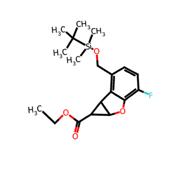 CCOC(=O)C1C2Oc3c(F)ccc(CO[Si](C)(C)C(C)(C)C)c3C21